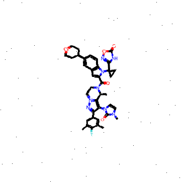 Cc1cc(-c2nn3c(c2-n2ccn(C)c2=O)C(C)N(C(=O)c2cc4cc(C5CCOCC5)ccc4n2C2(c4noc(=O)[nH]4)CC2)CC3)cc(C)c1F